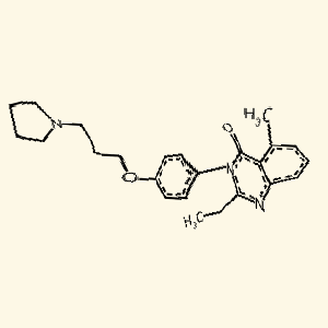 CCc1nc2cccc(C)c2c(=O)n1-c1ccc(OCCCN2CCCC2)cc1